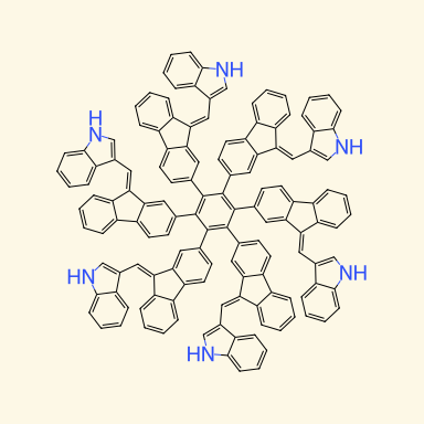 C(=C1/c2ccccc2-c2ccc(-c3c(-c4ccc5c(c4)/C(=C/c4c[nH]c6ccccc46)c4ccccc4-5)c(-c4ccc5c(c4)/C(=C/c4c[nH]c6ccccc46)c4ccccc4-5)c(-c4ccc5c(c4)/C(=C/c4c[nH]c6ccccc46)c4ccccc4-5)c(-c4ccc5c(c4)/C(=C/c4c[nH]c6ccccc46)c4ccccc4-5)c3-c3ccc4c(c3)/C(=C/c3c[nH]c5ccccc35)c3ccccc3-4)cc21)/c1c[nH]c2ccccc12